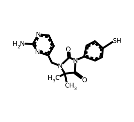 CC1(C)C(=O)N(c2ccc(S)cc2)C(=O)N1Cc1ccnc(N)n1